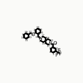 O=C(c1cccc(C(F)(F)F)c1)N1CCC2(CCN(Cc3ccccc3OCc3ccccc3)CC2)CC1